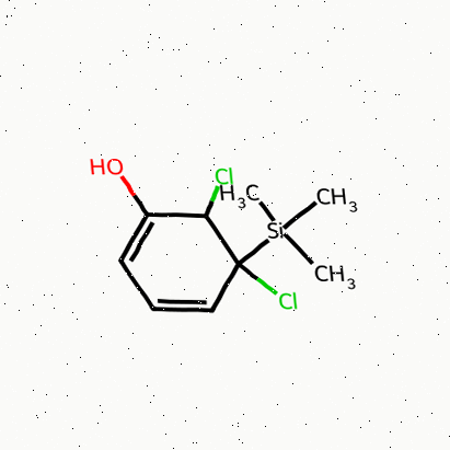 C[Si](C)(C)C1(Cl)C=CC=C(O)C1Cl